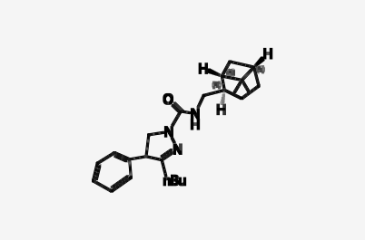 CCCCC1=NN(C(=O)NC[C@@H]2CC[C@H]3C[C@@H]2C3(C)C)CC1c1ccccc1